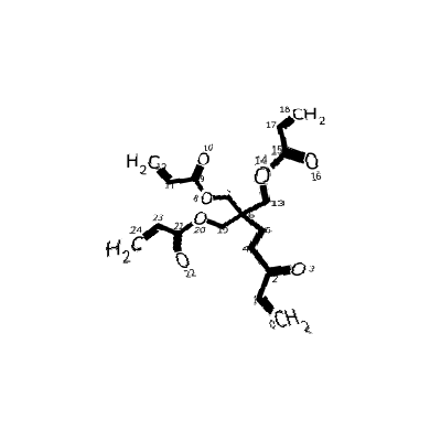 C=CC(=O)CCC(COC(=O)C=C)(COC(=O)C=C)COC(=O)C=C